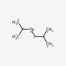 CC(C)C[Te]C(C)C